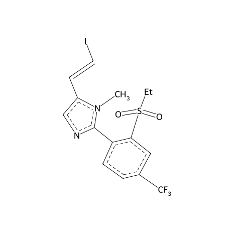 CCS(=O)(=O)c1cc(C(F)(F)F)ccc1-c1ncc(C=CI)n1C